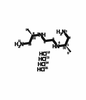 C[C@@H](CN)NCCN[C@@H](C)CN.Cl.Cl.Cl.Cl